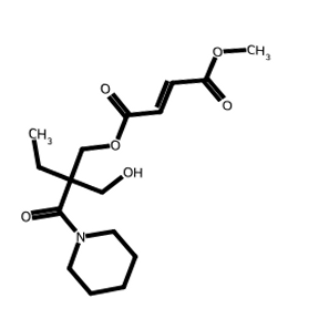 CCC(CO)(COC(=O)/C=C/C(=O)OC)C(=O)N1CCCCC1